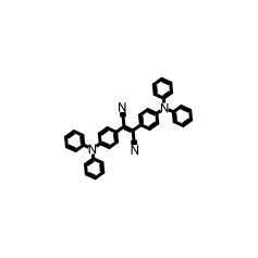 N#CC(=C(C#N)c1ccc(N(c2ccccc2)c2ccccc2)cc1)c1ccc(N(c2ccccc2)c2ccccc2)cc1